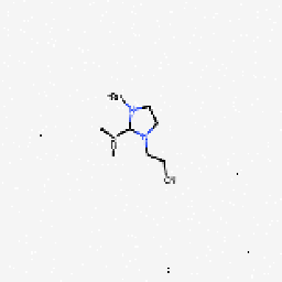 C[SiH](C)C1N(CCC#N)CCN1C(C)(C)C